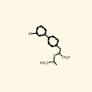 CCOC(=O)[C@H](C)O[C@@H](Cc1ccc(-c2cccc(Cl)c2)cc1)C(=O)O